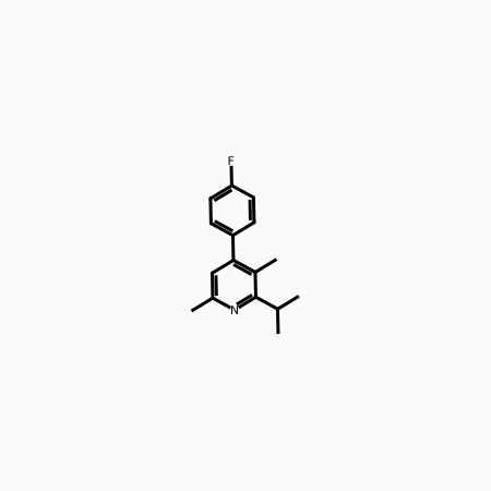 Cc1cc(-c2ccc(F)cc2)c(C)c(C(C)C)n1